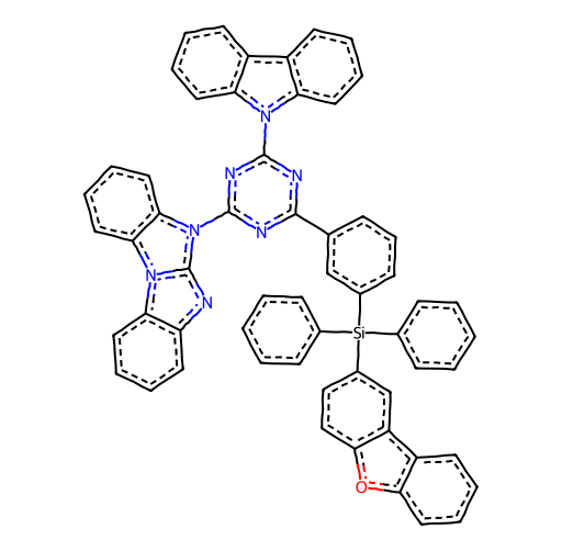 c1ccc([Si](c2ccccc2)(c2cccc(-c3nc(-n4c5ccccc5c5ccccc54)nc(-n4c5ccccc5n5c6ccccc6nc45)n3)c2)c2ccc3oc4ccccc4c3c2)cc1